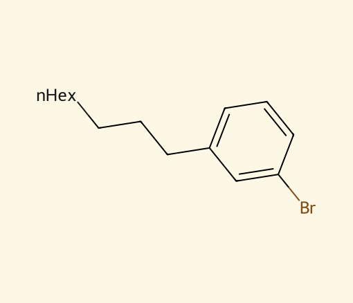 CCCCCCCCCc1cccc(Br)c1